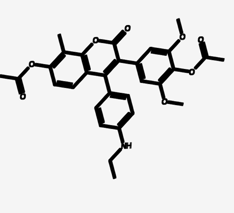 CCNc1ccc(-c2c(-c3cc(OC)c(OC(C)=O)c(OC)c3)c(=O)oc3c(C)c(OC(C)=O)ccc23)cc1